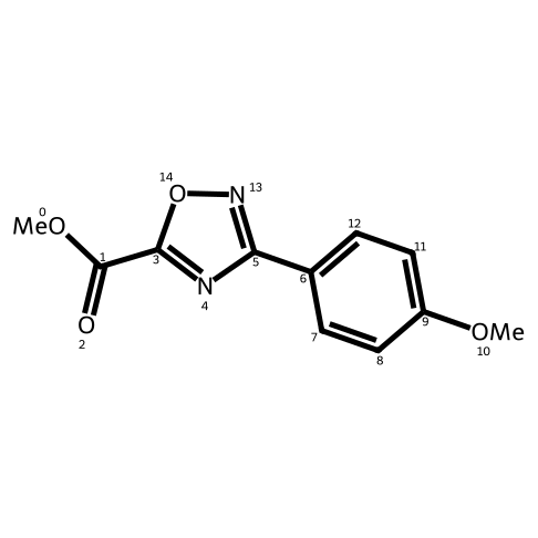 COC(=O)c1nc(-c2ccc(OC)cc2)no1